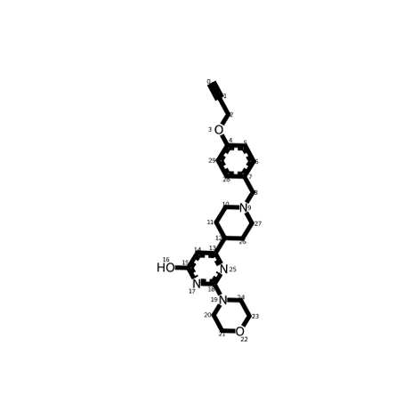 C#CCOc1ccc(CN2CCC(c3cc(O)nc(N4CCOCC4)n3)CC2)cc1